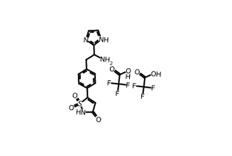 NC(Cc1ccc(C2=CC(=O)NS2(=O)=O)cc1)c1ncc[nH]1.O=C(O)C(F)(F)F.O=C(O)C(F)(F)F